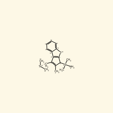 CC1=C(C)C([Si](C)(C)N)c2sc3ccccc3c21.[CH3][Ti][CH3]